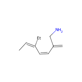 C=C(/C=C\C(=C/C)CC)CN